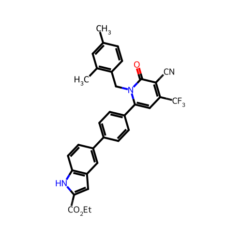 CCOC(=O)c1cc2cc(-c3ccc(-c4cc(C(F)(F)F)c(C#N)c(=O)n4Cc4ccc(C)cc4C)cc3)ccc2[nH]1